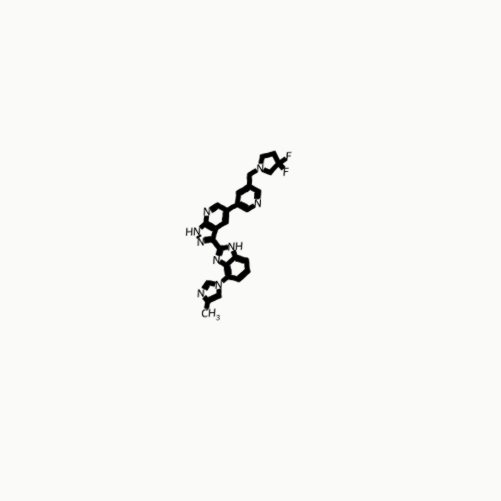 Cc1cn(-c2cccc3[nH]c(-c4n[nH]c5ncc(-c6cncc(CN7CCC(F)(F)C7)c6)cc45)nc23)cn1